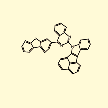 c1cc2c3c(cccc3c1)-c1c-2c2ccccc2n1-c1nc(-c2ccc3c(c2)sc2ccccc23)c2ccccc2n1